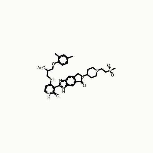 CC(=O)OC(CNc1cc[nH]c(=O)c1-c1nc2cc3c(cc2[nH]1)C(=O)N(C1CCN(CCS(C)(=O)=O)CC1)C3)COc1ccc(C)cc1C